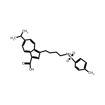 Cc1ccc(S(=O)(=O)NCCCCc2cc(C(=O)O)c3ccc(C(C)C)ccc2-3)cc1